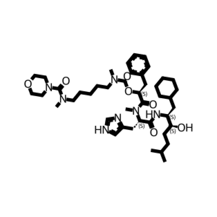 CC(C)CC[C@H](O)[C@H](CC1CCCCC1)NC(=O)[C@H](Cc1c[nH]cn1)N(C)C(=O)[C@H](Cc1ccccc1)OC(=O)N(C)CCCCCN(C)C(=O)N1CCOCC1